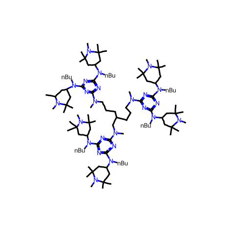 CCCCN(c1nc(N(C)CCCC(CCCN(C)c2nc(N(CCCC)C3CC(C)(C)N(C)C(C)(C)C3)nc(N(CCCC)C3CC(C)(C)N(C)C(C)(C)C3)n2)CN(C)c2nc(N(CCCC)C3CC(C)(C)N(C)C(C)(C)C3)nc(N(CCCC)C3CC(C)(C)N(C)C(C)(C)C3)n2)nc(N(CCCC)C2CC(C)(C)N(C)C(C)(C)C2)n1)C1CC(C)N(C)C(C)(C)C1